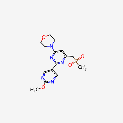 COc1ncc(-c2nc(CS(C)(=O)=O)cc(N3CCOCC3)n2)cn1